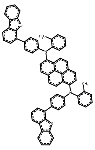 Cc1ccccc1N(c1ccc(-c2cccc3c2sc2ccccc23)cc1)c1ccc2ccc3c(N(c4ccc(-c5cccc6c5sc5ccccc56)cc4)c4ccccc4C)ccc4ccc1c2c43